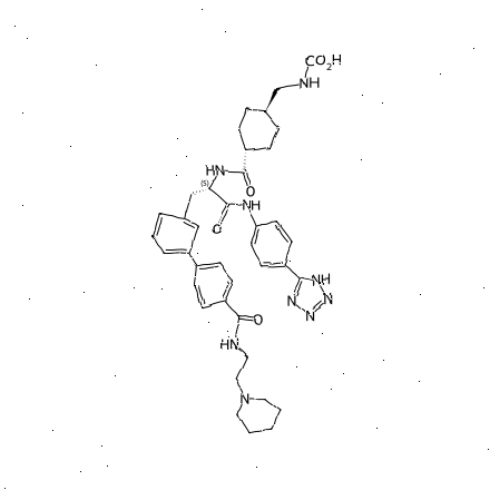 O=C(O)NC[C@H]1CC[C@H](C(=O)N[C@@H](Cc2cccc(-c3ccc(C(=O)NCCN4CCCCC4)cc3)c2)C(=O)Nc2ccc(-c3nnn[nH]3)cc2)CC1